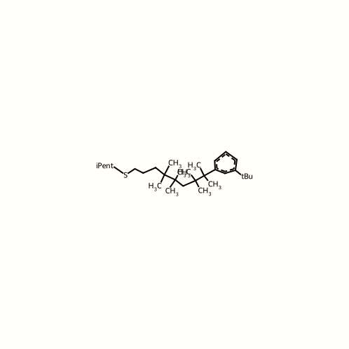 CCCC(C)SCCCC(C)(C)C(C)(C)CC(C)(C)C(C)(C)c1cccc(C(C)(C)C)c1